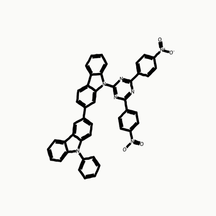 O=[N+]([O-])c1ccc(-c2nc(-c3ccc([N+](=O)[O-])cc3)nc(-n3c4ccccc4c4ccc(-c5ccc6c(c5)c5ccccc5n6-c5ccccc5)cc43)n2)cc1